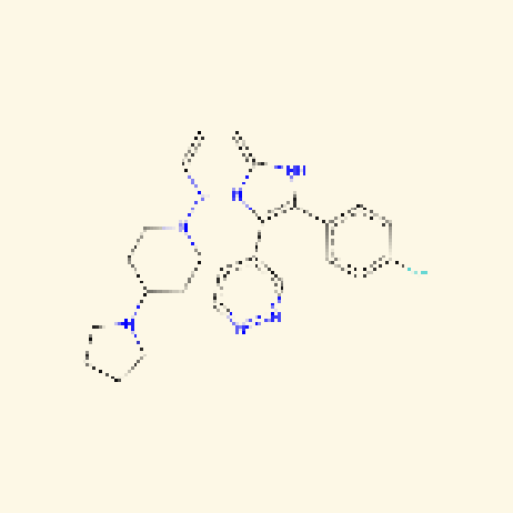 Fc1ccc(C2=C(c3ccnnc3)N3C(=CC=CN3N3CCC(N4CCCC4)CC3)N2)cc1